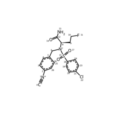 [C-]#[N+]c1ccc(CN([C@H](CCF)C(N)=O)S(=O)(=O)c2ccc(Cl)cc2)cc1